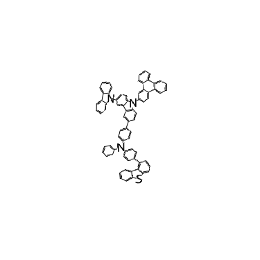 c1ccc(N(c2ccc(-c3ccc4c(c3)c3cc(-n5c6ccccc6c6ccccc65)ccc3n4-c3ccc4c5ccccc5c5ccccc5c4c3)cc2)c2ccc(-c3cccc4sc5ccccc5c34)cc2)cc1